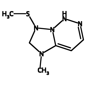 CSN1CN(C)C2=CC=NNN21